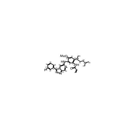 C=CC(=O)Nc1cc(Nc2cn3c(-c4cccc(F)c4)nnc3cn2)c(OC)cc1N(C)CCN(C)C